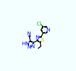 CCc1sc(-c2cncc(Cl)c2)nc1-c1nn[nH]c1C#N